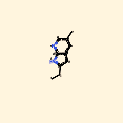 CCc1cc2cc(C)cnc2[nH]1